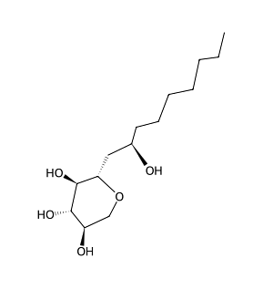 CCCCCCC[C@@H](O)C[C@@H]1OC[C@@H](O)[C@H](O)[C@H]1O